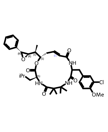 COc1ccc(CC2NC(=O)/C=C/C[C@@H]([C@H](C)[C@H]3O[C@@H]3c3ccccc3)OC(=O)[C@H](CC(C)C)NC(=O)C(C)(C)C(C)(C)NC2=O)cc1Cl